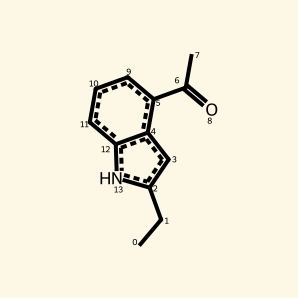 CCc1cc2c(C(C)=O)cccc2[nH]1